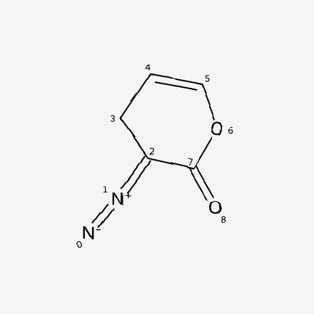 [N-]=[N+]=C1CC=COC1=O